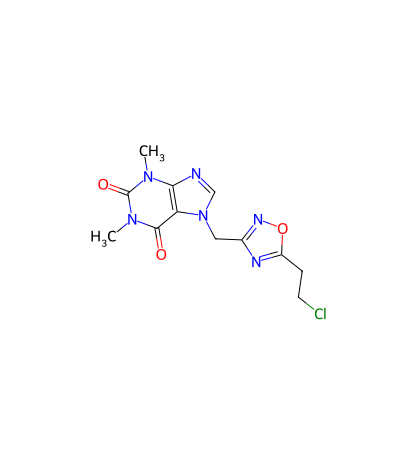 Cn1c(=O)c2c(ncn2Cc2noc(CCCl)n2)n(C)c1=O